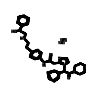 Cl.Cl.O=C(Cc1nccn1C(C(=O)N1CCCCC1)c1ccccc1)Nc1ccc(CCNCC(O)c2ccccc2)cc1